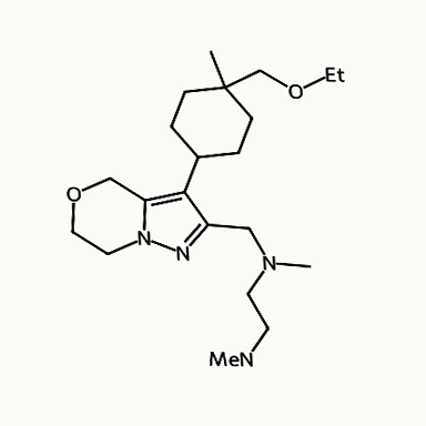 CCOCC1(C)CCC(c2c(CN(C)CCNC)nn3c2COCC3)CC1